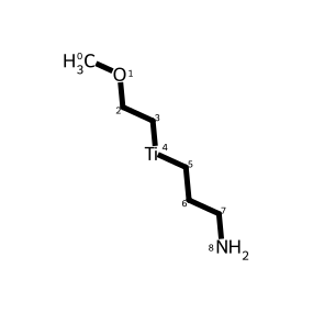 COC[CH2][Ti][CH2]CCN